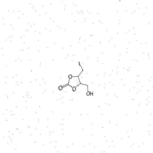 O=C1OC(CO)C(CI)O1